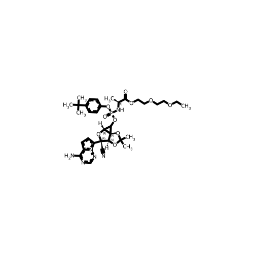 CCOCCOCCOC(=O)[C@H](C)NP(=O)(Oc1ccc(C(C)(C)C)cc1)OC1[C@H]2O[C@@](C#N)(c3ccc4c(N)ncnn34)[C@@H]3OC(C)(C)O[C@]123